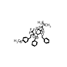 COc1ccc(CCC(O)([C@H]2O[C@@H]3SC(N(C)C)=N[C@@H]3[C@@H](OCc3ccccc3)[C@@H]2OCc2ccccc2)C(F)(F)F)cc1